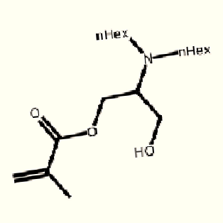 C=C(C)C(=O)OCC(CO)N(CCCCCC)CCCCCC